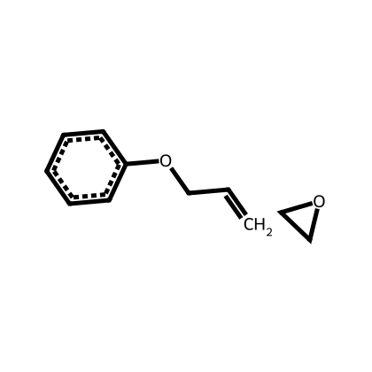 C1CO1.C=CCOc1ccccc1